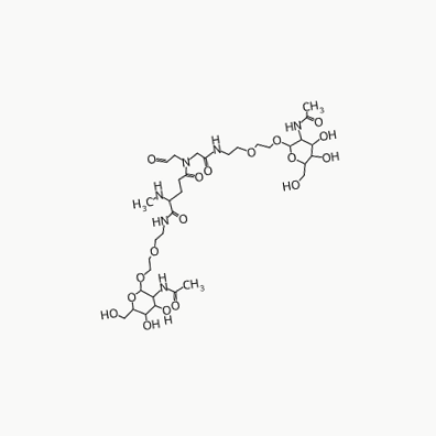 CNC(CCC(=O)N(CC=O)CC(=O)NCCOCCOC1OC(CO)C(O)C(O)C1NC(C)=O)C(=O)NCCOCCOC1OC(CO)C(O)C(O)C1NC(C)=O